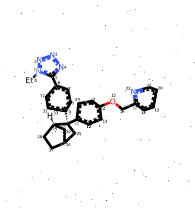 CCn1nnnc1-c1ccc([C@]2(c3ccc(OCc4ccccn4)cc3)CC3CC[C@@H]2C3)cc1